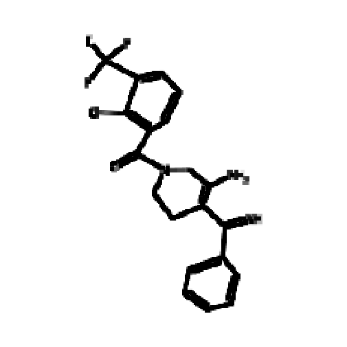 N=C(C1=C(N)CN(C(=O)c2cccc(C(F)(F)F)c2Cl)CC1)c1ccccc1